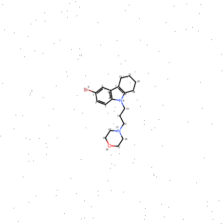 Brc1ccc2c(c1)c1c(n2CCCN2CCOCC2)CCCC1